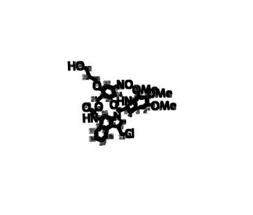 COc1cc2cc(C(=O)N3CC(CCl)c4c3cc(NC(=O)OCc3ccc([N+](=O)[O-])cc3OCCCO)c3ccccc43)[nH]c2c(OC)c1OC